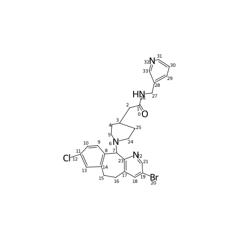 O=C(CC1CCN(C2c3ccc(Cl)cc3CCc3cc(Br)cnc32)CC1)NCc1cccnc1